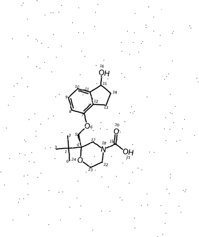 CC(C)(C)[C@]1(COc2cccc3c2CCC3O)CN(C(=O)O)CCO1